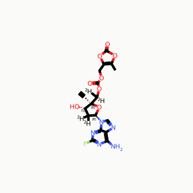 [2H]C1([2H])[C@H](n2cnc3c(N)nc(F)nc32)O[C@](C#C)(C([2H])([2H])OC(=O)OCc2oc(=O)oc2C)[C@H]1O